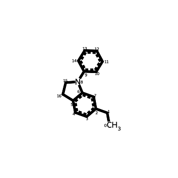 CCc1ccc2c(c1)N(c1ccccc1)CC2